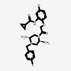 C[C@@H]1CN(C(=O)COc2ccc(Cl)cc2NC(=O)C2CC2)[C@@H](C)CN1Cc1ccc(F)cc1